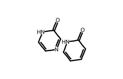 O=c1cccc[nH]1.O=c1cncc[nH]1